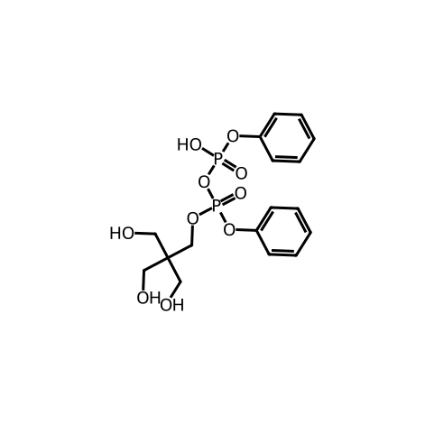 O=P(O)(Oc1ccccc1)OP(=O)(OCC(CO)(CO)CO)Oc1ccccc1